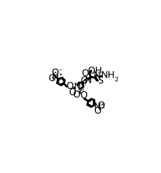 Nc1nc(C(=NO[C@H]2C[C@@H](C(=O)OCc3ccc([N+](=O)[O-])cc3)N(C(=O)OCc3ccc([N+](=O)[O-])cc3)C2)C(=O)O)cs1